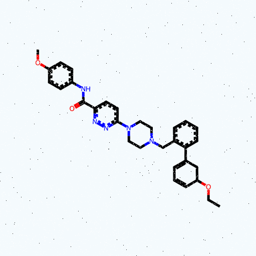 CCOC1C=CC=C(c2ccccc2CN2CCN(c3ccc(C(=O)Nc4ccc(OC)cc4)nn3)CC2)C1